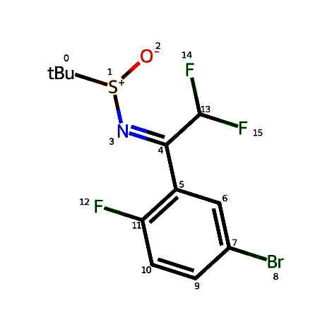 CC(C)(C)[S+]([O-])N=C(c1cc(Br)ccc1F)C(F)F